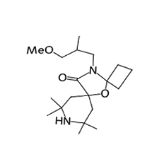 COCC(C)CN1C(=O)C2(CC(C)(C)NC(C)(C)C2)OC12CCC2